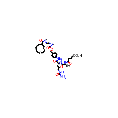 CC(C)[C@H](NC(=O)CCCC(=O)O)C(=O)N[C@@H](CCCNC(N)=O)C(=O)Nc1ccc(COC(=O)N(C)CCN(C)C(=O)C2CCCCCCCCCC2)cc1